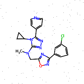 CN(Cc1nc(-c2cccc(Cl)c2)no1)c1nnc(-c2ccncc2)n1C1CC1